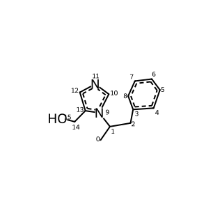 CC(Cc1ccccc1)n1cncc1CO